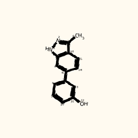 Cc1n[nH]c2cc(-c3cccc(O)c3)ccc12